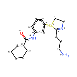 NCCCC1=NCC[SH]1c1cccc(NC(=O)C2CCCCC2)c1